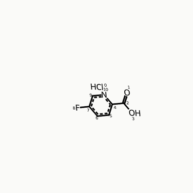 Cl.O=C(O)c1ccc(F)cn1